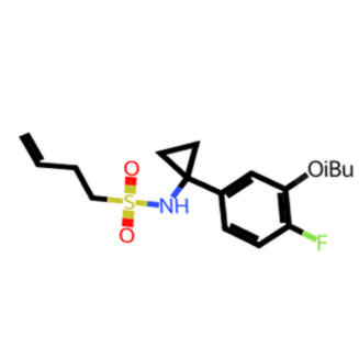 C=CCCS(=O)(=O)NC1(c2ccc(F)c(OCC(C)C)c2)CC1